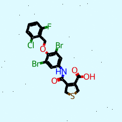 O=C(O)C1=C(C(=O)Nc2cc(Br)c(OCc3c(F)cccc3Cl)c(Br)c2)CSC1